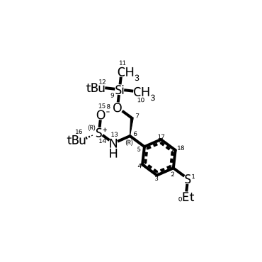 CCSc1ccc([C@H](CO[Si](C)(C)C(C)(C)C)N[S@@+]([O-])C(C)(C)C)cc1